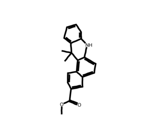 COC(=O)c1ccc2c3c(ccc2c1)Nc1ccccc1C3(C)C